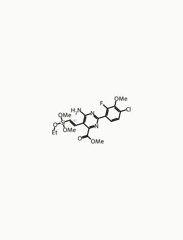 CCO[Si](/C=C/c1c(N)nc(-c2ccc(Cl)c(OC)c2F)nc1C(=O)OC)(OC)OC